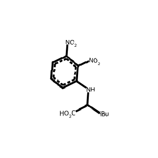 CCC(C)C(Nc1cccc([N+](=O)[O-])c1[N+](=O)[O-])C(=O)O